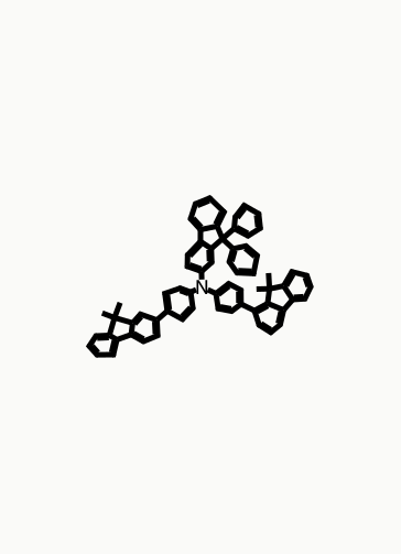 CC1(C)c2ccccc2-c2ccc(-c3ccc(N(c4ccc(-c5cccc6c5C(C)(C)c5ccccc5-6)cc4)c4ccc5c(c4)C(c4ccccc4)(c4ccccc4)c4ccccc4-5)cc3)cc21